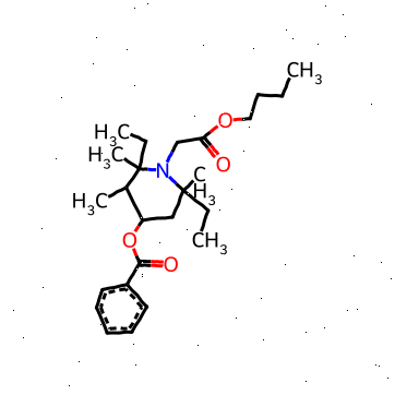 CCCCOC(=O)CN1C(C)(CC)CC(OC(=O)c2ccccc2)C(C)C1(C)CC